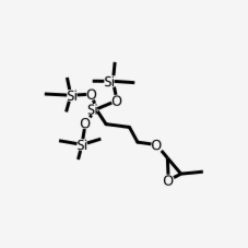 CC1OC1OCCC[Si](O[Si](C)(C)C)(O[Si](C)(C)C)O[Si](C)(C)C